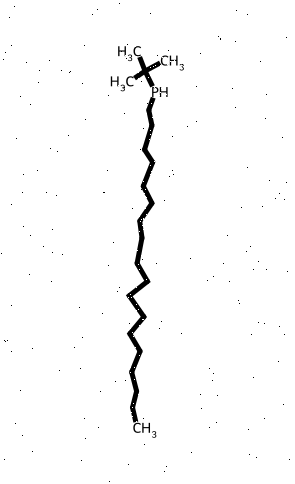 CCCCCCCCCCCCCCCCCCPC(C)(C)C